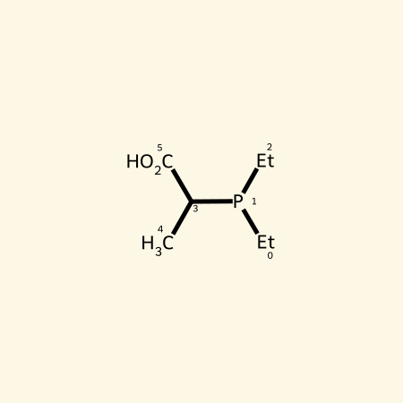 CCP(CC)C(C)C(=O)O